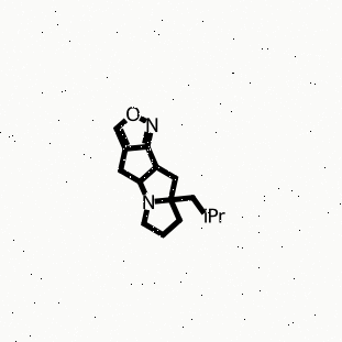 CC(C)CC12CCCN1C1Cc3conc3C1C2